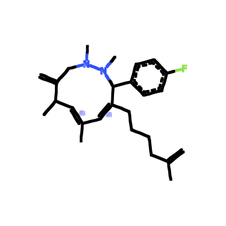 C=C(C)CCCC/C1=C/C(C)=C/C(C)C(=C)CN(C)N(C)C1c1ccc(F)cc1